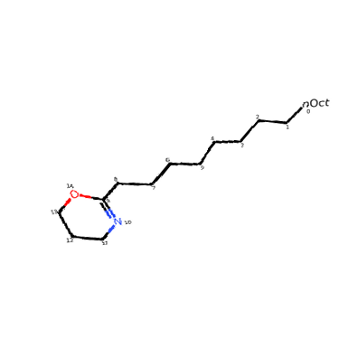 CCCCCCCCCCCCCCCCC1=NCCCO1